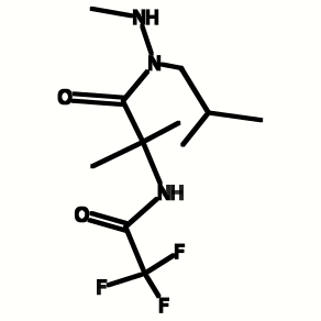 CNN(CC(C)C)C(=O)C(C)(C)NC(=O)C(F)(F)F